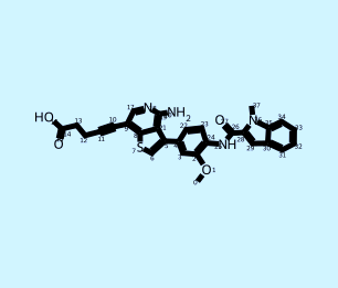 COc1cc(-c2csc3c(C#CCCC(=O)O)cnc(N)c23)ccc1NC(=O)c1cc2ccccc2n1C